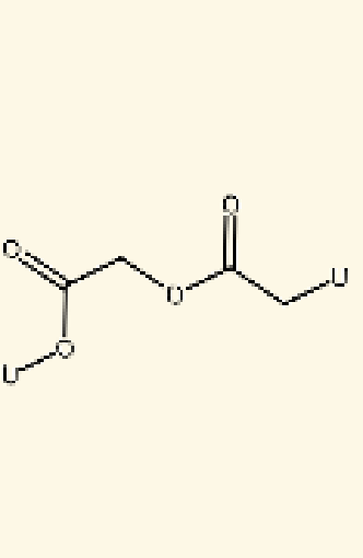 O=C(COC(=O)[CH2][U])[O][U]